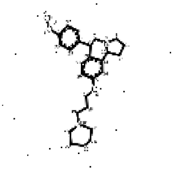 FC(F)(F)Oc1ccc(C2CN3CCCC3c3cc(OCCCN4CCCCC4)ccc32)cc1